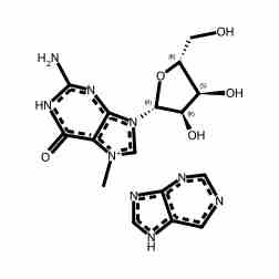 C[n+]1cn([C@@H]2O[C@H](CO)[C@@H](O)[C@H]2O)c2nc(N)[nH]c(=O)c21.c1ncc2[nH]cnc2n1